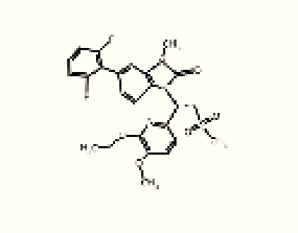 CCOc1nc([C@@H](CS(C)(=O)=O)n2c(=O)n(C)c3cc(-c4c(F)cccc4F)ccc32)ccc1OC